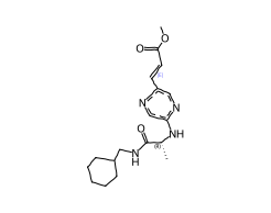 COC(=O)/C=C/c1cnc(N[C@H](C)C(=O)NCC2CCCCC2)cn1